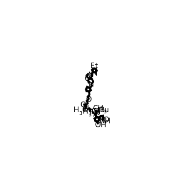 CCc1ccnc(N2CCOC3(CCN(Cc4cccc(CCOCCC(=O)N(C)CCNC[C@H](O[Si](C)(C)C(C)(C)C)c5ccc(O)c6[nH]c(=O)ccc56)c4)CC3)C2)c1